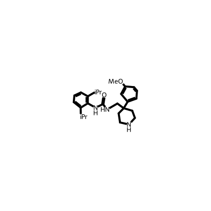 COc1cccc(C2(CNC(=O)Nc3c(C(C)C)cccc3C(C)C)CCNCC2)c1